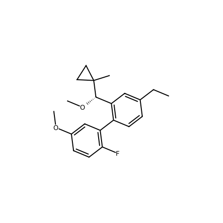 CCc1ccc(-c2cc(OC)ccc2F)c([C@H](OC)C2(C)CC2)c1